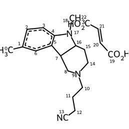 Cc1ccc2c(c1)C1CN(CCCC#N)CCC1N2C.O=C(O)C=CC(=O)O